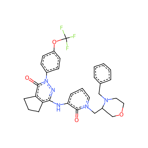 O=c1c(Nc2nn(-c3ccc(OC(F)(F)F)cc3)c(=O)c3c2CCC3)cccn1CC1COCCN1Cc1ccccc1